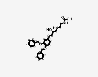 O=C(O)NCCNC[C@@H](O)COc1ccc(OCc2ccccc2)c(OCc2ccccc2)c1